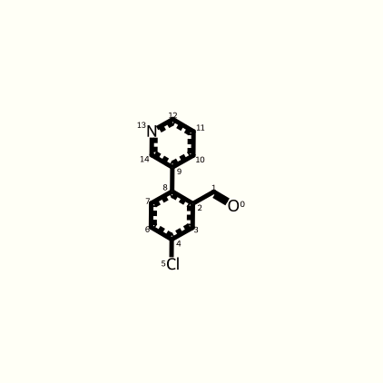 O=Cc1cc(Cl)ccc1-c1cccnc1